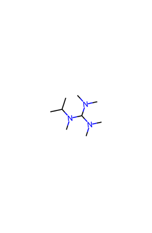 CC(C)N(C)C(N(C)C)N(C)C